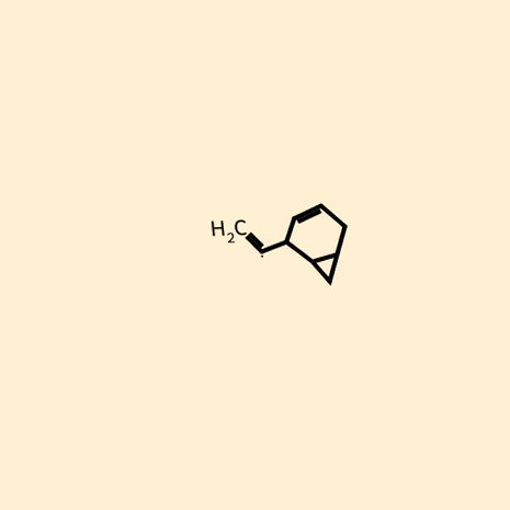 C=[C]C1C=CCC2CC12